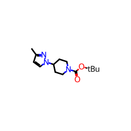 Cc1ccn(C2CCN(C(=O)OC(C)(C)C)CC2)n1